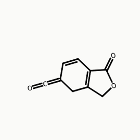 O=C=C1C=CC2=C(COC2=O)C1